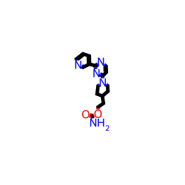 NC(=O)OCCC1CCN(c2ccnc(-c3cccnc3)n2)CC1